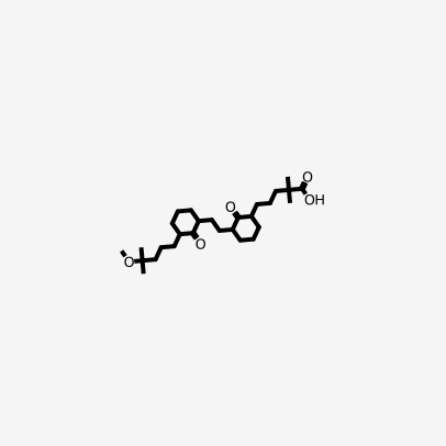 COC(C)(C)CCCC1CCCC(CCC2CCCC(CCCC(C)(C)C(=O)O)C2=O)C1=O